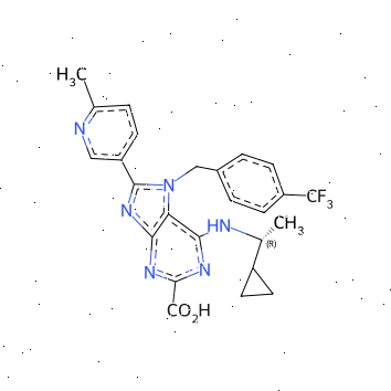 Cc1ccc(-c2nc3nc(C(=O)O)nc(N[C@H](C)C4CC4)c3n2Cc2ccc(C(F)(F)F)cc2)cn1